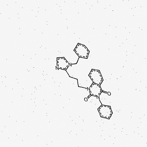 O=c1c2ccccc2n(CCCc2nccn2Cc2ccccc2)c(=O)n1-c1ccccc1